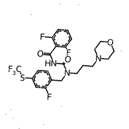 O=C(NC(=O)N(CCCN1CCOCC1)Cc1ccc(SC(F)(F)F)cc1F)c1c(F)cccc1F